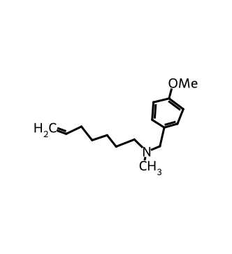 C=CCCCCCN(C)Cc1ccc(OC)cc1